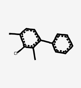 Cc1ccc(-c2ccccc2)c(C)c1Cl